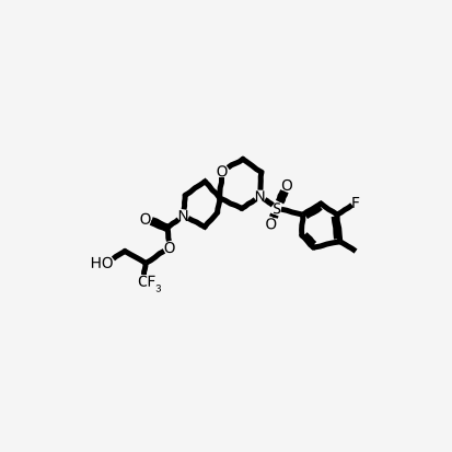 Cc1ccc(S(=O)(=O)N2CCOC3(CCN(C(=O)OC(CO)C(F)(F)F)CC3)C2)cc1F